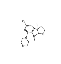 CN1c2c(cc(Cl)nc2N2CCOCC2)C2(C)CCOC12